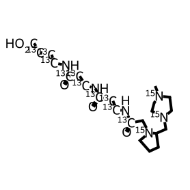 C[15N]1CC[15N](CC2CCC[15N]2C[13C](=O)N[13CH2][13CH2][13C](=O)N[13CH2][13CH2][13C](=O)N[13CH2][13CH2][13CH2][13C](=O)O)CC1